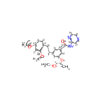 COC[C@H](C)Oc1cc(CCc2ccc(OC)cc2OC)cc(C(=O)Nc2cnccn2)c1